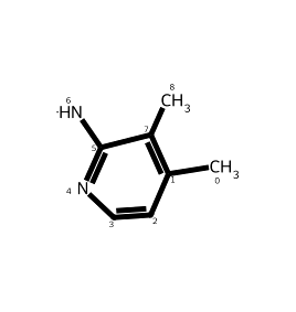 Cc1ccnc([NH])c1C